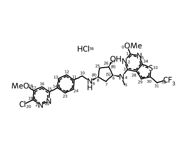 COc1nc(N(C)[C@H]2C[C@@H](NCc3ccc(-c4cc(OC)c(Cl)nn4)cc3)C[C@H]2O)c2cc(CC(F)(F)F)sc2n1.Cl